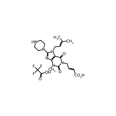 CC(C)=CCn1c(N2CCNCC2)nc2c1c(=O)n(CC=CC(=O)O)c(=O)n2C.O=C(O)C(F)(F)F